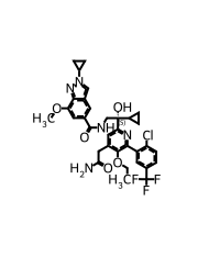 CCOc1c(CC(N)=O)cc([C@@](O)(CNC(=O)c2cc(OC)c3nn(C4CC4)cc3c2)C2CC2)nc1-c1cc(C(F)(F)F)ccc1Cl